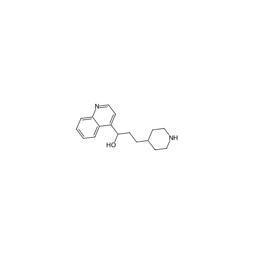 OC(CCC1CCNCC1)c1ccnc2ccccc12